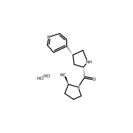 Cl.Cl.N#C[C@@H]1CCCN1C(=O)[C@@H]1C[C@H](c2ccncc2)CN1